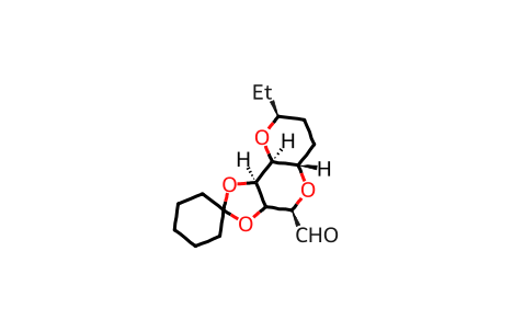 CC[C@H]1CC[C@@H]2O[C@@H](C=O)C3OC4(CCCCC4)O[C@H]3[C@H]2O1